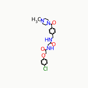 CN1CCN(C(=O)c2ccc(CNC(=O)CNC(=O)COc3ccc(Cl)cc3)cc2)CC1